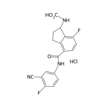 Cl.N#Cc1cc(NC(=O)c2ccc(F)c3c2CCC3NC(=O)O)ccc1F